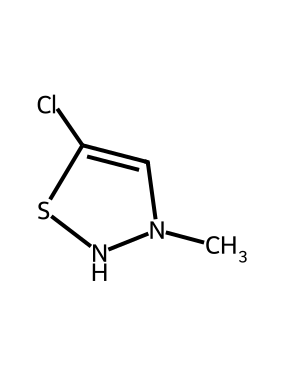 CN1C=C(Cl)SN1